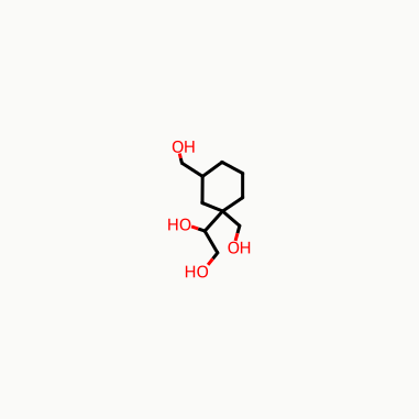 OCC1CCCC(CO)(C(O)CO)C1